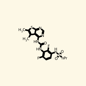 CCCS(=O)(=O)Nc1ccc(F)c(NC(=O)Nc2ncnc3sc(C)c(C)c23)c1F